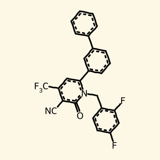 N#Cc1c(C(F)(F)F)cc(-c2cccc(-c3ccccc3)c2)n(Cc2ccc(F)cc2F)c1=O